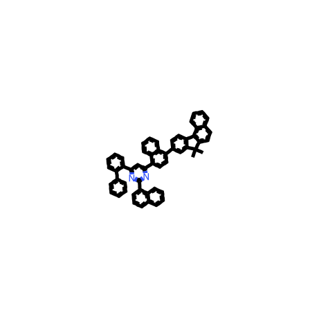 CC1(C)c2cc(-c3ccc(-c4cc(-c5ccccc5-c5ccccc5)nc(-c5cccc6ccccc56)n4)c4ccccc34)ccc2-c2c1ccc1ccccc21